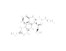 C#CC(=O)N1[C@@H](CCCC)Cc2cccnc2[C@@H]1CN1CCN(C)CC1